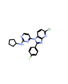 Fc1ccc(-c2nc3nc(Cl)ccc3n2-c2ccnc(NC3CCCC3)n2)cc1